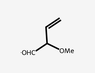 C=CC([C]=O)OC